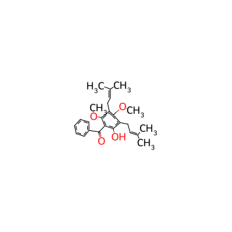 COc1c(CC=C(C)C)c(O)c(C(=O)c2ccccc2)c(OC)c1CC=C(C)C